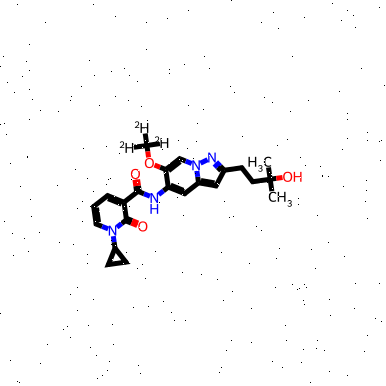 [2H]C([2H])([2H])Oc1cn2nc(CCC(C)(C)O)cc2cc1NC(=O)c1cccn(C2CC2)c1=O